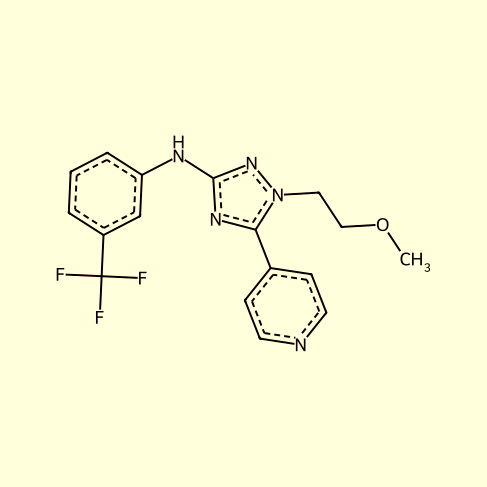 COCCn1nc(Nc2cccc(C(F)(F)F)c2)nc1-c1ccncc1